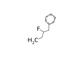 [CH2]CC(F)Cc1ccccc1